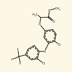 COC(=O)C(C)Oc1ccc(Cl)c(Oc2ccc(C(F)(F)F)cc2Cl)c1